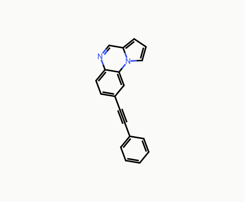 C(#Cc1ccc2ncc3cccn3c2c1)c1ccccc1